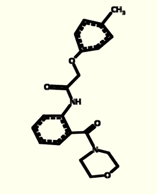 Cc1ccc(OCC(=O)Nc2ccccc2C(=O)N2CCOCC2)cc1